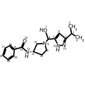 CC(C)c1cc(C(O)N2CC[C@H](NC(=O)c3ccccc3)C2)[nH]n1